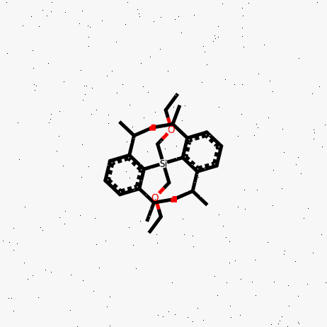 CCOC[Si](COCC)(c1c(C(C)C)cccc1C(C)C)c1c(C(C)C)cccc1C(C)C